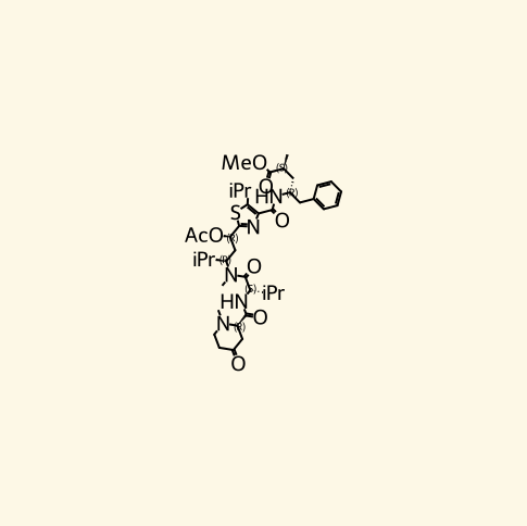 COC(=O)[C@@H](C)C[C@H](Cc1ccccc1)NC(=O)c1nc([C@@H](C[C@H](C(C)C)N(C)C(=O)[C@@H](NC(=O)[C@H]2CC(=O)CCN2C)C(C)C)OC(C)=O)sc1C(C)C